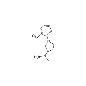 BN(C)C1CCN(c2ccccc2C=O)C1